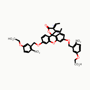 C/C=C1/C(=O)OC2(/C1=C/C)c1ccc(OCc3cc(OCC(=O)O)ccc3[N+](=O)[O-])cc1Oc1cc(OCc3cc(OCC(=O)O)ccc3[N+](=O)[O-])ccc12